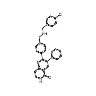 O=c1[nH]ccc2nc(-c3ccc(CNCc4ccc(Cl)cc4)cc3)c(-c3ccccc3)cc12